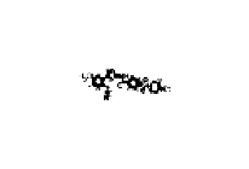 CCC1CCN(S(=O)(=O)c2ccc(C(=O)Nc3nc(-c4cc(C)ccc4N=[N+]=[N-])cs3)cc2)CC1